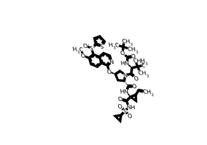 C=CC1C[C@]1(NC(=O)[C@@H]1C[C@@H](Oc2nccc3c([S+]([O-])c4cccs4)c(OC)ccc23)CN1C(=O)[C@@H](NC(=O)OC(C)(C)C)C(C)(C)C)C(=O)NS(=O)(=O)C1CC1